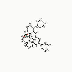 C1=CCC(C2=CC3SC4C(c5ccccc5)=CC=CC4C4(c5ccccc5Sc5ccccc54)C3C=C2)C=C1